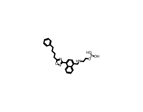 OP(O)OCCNCc1ccc(-c2noc(CCCCc3ccccc3)n2)c2ccccc12